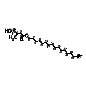 C=C(CC(=O)OCCCCCCCCCCCCCCCC(C)C)C(=O)O